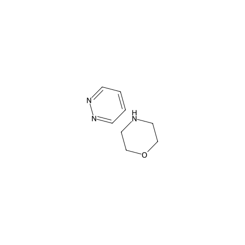 C1COCCN1.c1ccnnc1